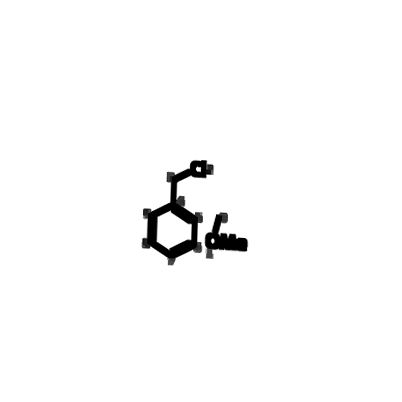 COC.ClCc1ccccc1